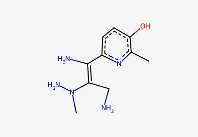 Cc1nc(/C(N)=C(\CN)N(C)N)ccc1O